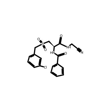 N#CCNC(=O)[C@H](CS(=O)(=O)Cc1cccc(Cl)c1)NC(=O)c1ccccc1